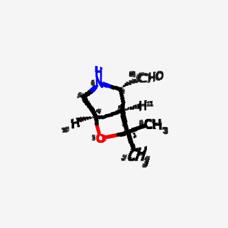 CC1(C)O[C@H]2CN[C@H](C=O)[C@H]21